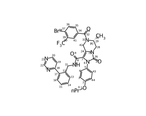 CCCOc1ccc(-n2c(C(=O)NCc3ccccc3-c3ccncn3)c3n(c2=O)C[C@@H](C)N(C(=O)c2ccc(Br)c(C(F)(F)F)c2)C3)cc1